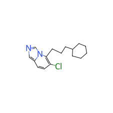 Clc1ccc2cncn2c1CCCC1CCCCC1